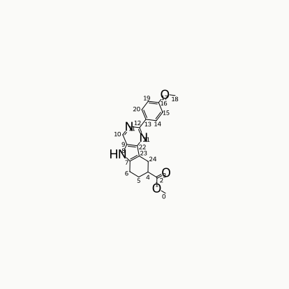 COC(=O)C1CCc2[nH]c3cnc(-c4ccc(OC)cc4)nc3c2C1